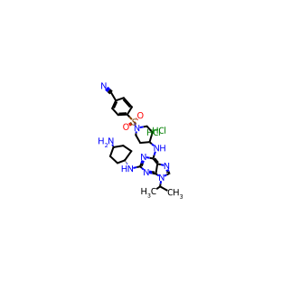 CC(C)n1cnc2c(NC3CCN(S(=O)(=O)c4ccc(C#N)cc4)CC3)nc(N[C@H]3CC[C@H](N)CC3)nc21.Cl.Cl